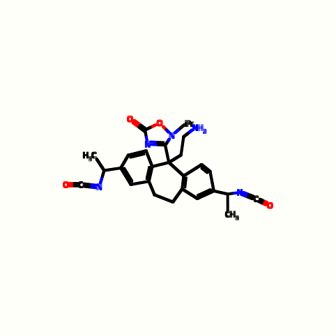 CC(N=C=O)c1ccc2c(c1)CCc1cc(C(C)N=C=O)ccc1C2(CCN)c1nc(=O)on1C(C)C